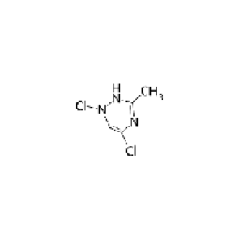 CC1=NC(Cl)=CN(Cl)N1